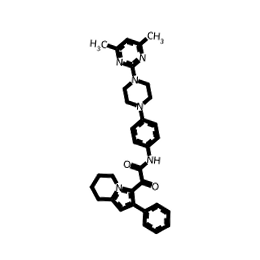 Cc1cc(C)nc(N2CCN(c3ccc(NC(=O)C(=O)c4c(-c5ccccc5)cc5n4CCCC5)cc3)CC2)n1